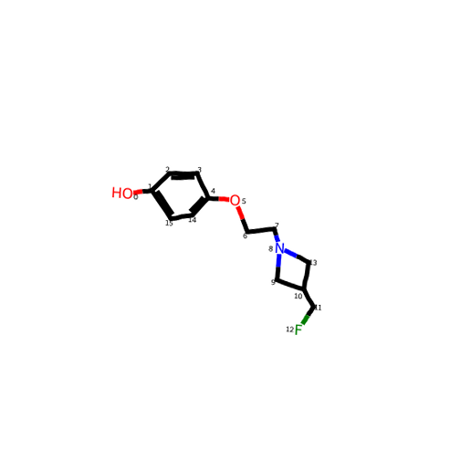 Oc1ccc(OCCN2CC(CF)C2)cc1